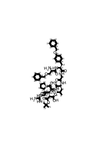 CC(C)C[C@H](NC(=O)CNC(=O)[C@H](Cc1ccc(OCc2ccccc2)cc1)NC(=O)[C@@H](N)COCc1ccccc1)C(=O)N[C@@H](CCCNC(=N)N)C(=O)N1CCC[C@H]1C(=O)N([C@H](C(=O)O)C(=O)OC(C)(C)C)[N+](=O)[O-]